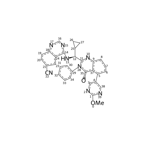 COc1ncc(-c2cccc3nc([C@@H](Nc4ncnc5ccc(C#N)cc45)C4CC4)n(-c4ccccc4)c(=O)c23)cn1